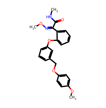 CNC(=O)/C(=N\OC)c1ccccc1Oc1cccc(COc2ccc(OC)cc2)c1